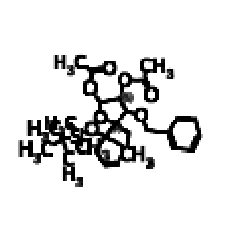 CC[C@@]1(C2(O[Si](C)(C)C(C)(C)C)CC=CC2)OC(OC(C)=O)[C@@H](OC(C)=O)C1OCc1ccccc1